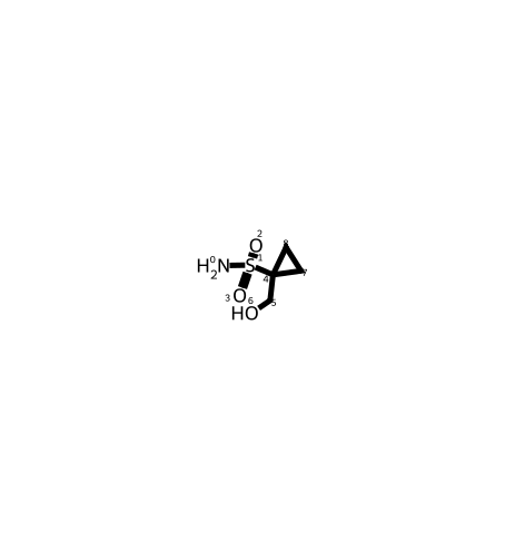 NS(=O)(=O)C1(CO)CC1